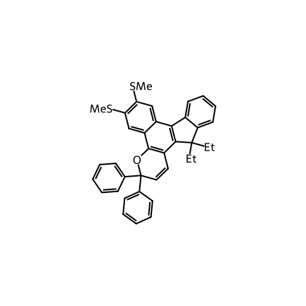 CCC1(CC)c2ccccc2-c2c1c1c(c3cc(SC)c(SC)cc23)OC(c2ccccc2)(c2ccccc2)C=C1